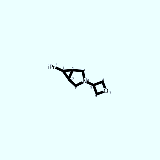 CC(C)C1C2CN(C3COC3)CC21